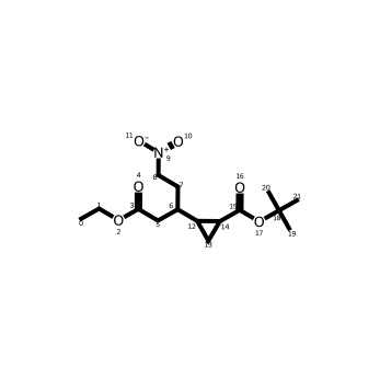 CCOC(=O)CC(CC[N+](=O)[O-])C1CC1C(=O)OC(C)(C)C